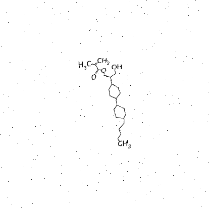 C=C(C)C(=O)OCC(CO)C1CCC(C2CCC(CCCCC)CC2)CC1